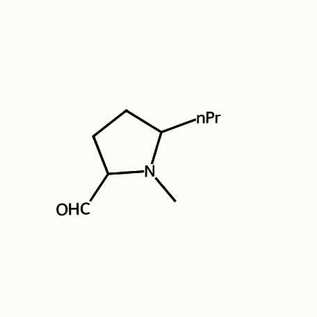 CCCC1CCC(C=O)N1C